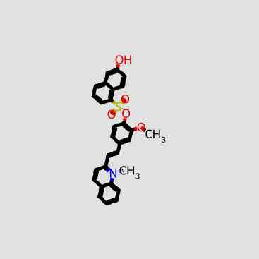 COc1cc(C=Cc2ccc3ccccc3[n+]2C)ccc1OS(=O)(=O)c1cccc2cc(O)ccc12